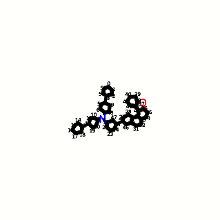 c1ccc(-c2ccc(N(c3ccc(-c4ccccc4)cc3)c3cccc(-c4ccc5c(ccc6ccc7oc8ccccc8c7c65)c4)c3)cc2)cc1